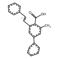 Cc1cc(-c2ccccc2)cc(/C=C/c2ccccc2)c1C(=O)O